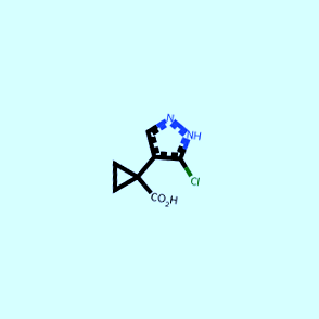 O=C(O)C1(c2cn[nH]c2Cl)CC1